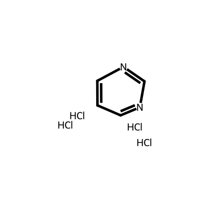 Cl.Cl.Cl.Cl.c1cncnc1